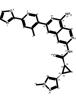 Cc1cc(-c2ncco2)ncc1-c1cc2cc(NC(=O)[C@H]3C[C@@H]3c3cnn(C)c3)ncc2c(N)n1